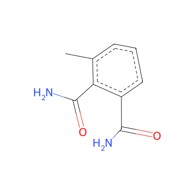 Cc1cccc(C(N)=O)c1C(N)=O